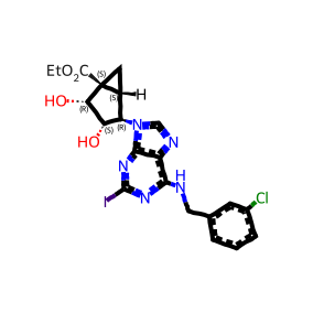 CCOC(=O)[C@@]12C[C@@H]1[C@@H](n1cnc3c(NCc4cccc(Cl)c4)nc(I)nc31)[C@H](O)[C@@H]2O